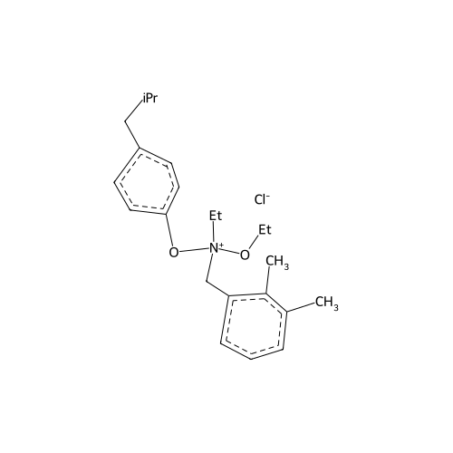 CCO[N+](CC)(Cc1cccc(C)c1C)Oc1ccc(CC(C)C)cc1.[Cl-]